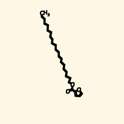 CCCCCCCCCCCCCCCCCCCCCCOC(=O)c1ccco1